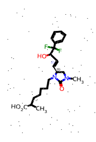 CC(CCCCCN1C(=O)N(C)C[C@@H]1/C=C/C(O)C(F)(F)c1ccccc1)C(=O)O